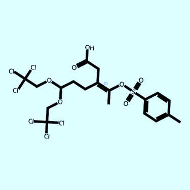 C/C(OS(=O)(=O)c1ccc(C)cc1)=C(\CCC(OCC(Cl)(Cl)Cl)OCC(Cl)(Cl)Cl)CC(=O)O